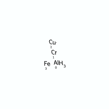 [AlH3].[Cr].[Cu].[Fe]